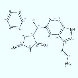 NCCc1c[nH]c2ccc(C(Cc3ccccc3)C3CC(=O)NC3=O)cc12